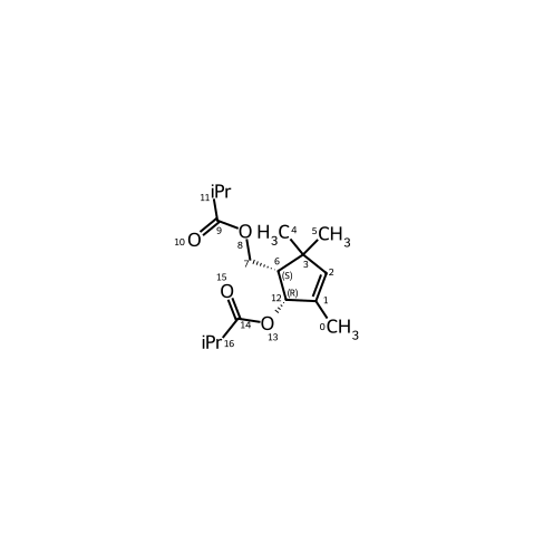 CC1=CC(C)(C)[C@@H](COC(=O)C(C)C)[C@H]1OC(=O)C(C)C